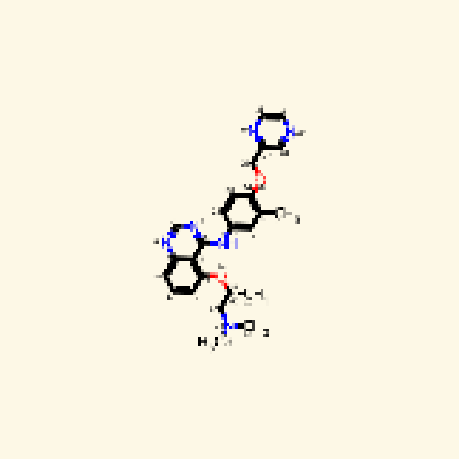 Cc1cc(Nc2ncnc3cccc(O[C@H](C)CN(C)C)c23)ccc1OCc1cnccn1